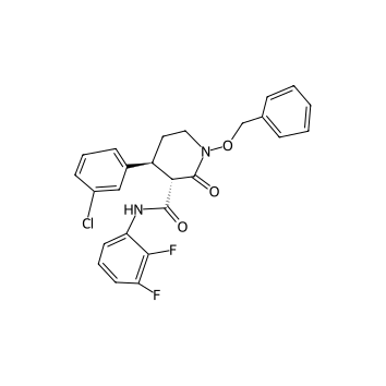 O=C(Nc1cccc(F)c1F)[C@H]1C(=O)N(OCc2ccccc2)CC[C@@H]1c1cccc(Cl)c1